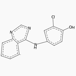 Oc1ccc(Nc2ncnc3ccc[c]c23)cc1Cl